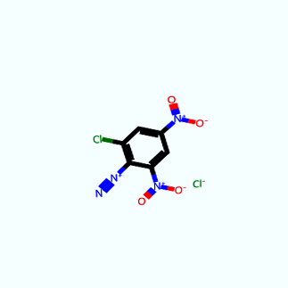 N#[N+]c1c(Cl)cc([N+](=O)[O-])cc1[N+](=O)[O-].[Cl-]